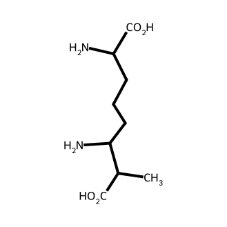 CC(C(=O)O)C(N)CCCC(N)C(=O)O